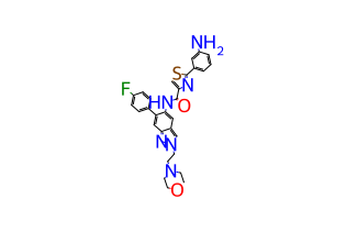 Nc1cccc(-c2nc(C(=O)Nc3cc4cn(CCN5CCOCC5)nc4cc3-c3ccc(F)cc3)cs2)c1